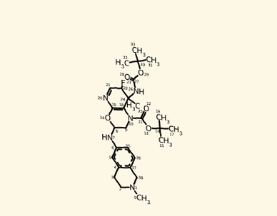 CN1CCc2cc(NC3CN(C(=O)OC(C)(C)C)C4=C(N=CC(F)C4(C)NC(=O)OC(C)(C)C)O3)ccc2C1